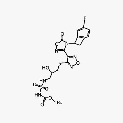 CC(C)(C)OC(=O)NS(=O)(=O)NCC(O)CSc1nonc1-c1noc(=O)n1C1Cc2ccc(F)cc21